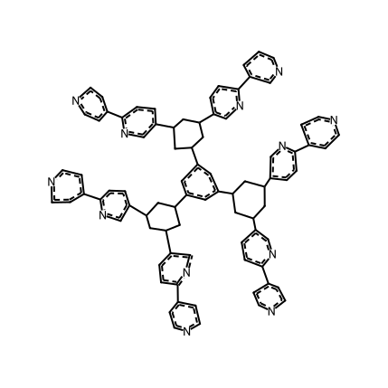 c1cncc(-c2ccc(C3CC(c4ccc(-c5ccncc5)nc4)CC(c4cc(C5CC(c6ccc(-c7ccncc7)nc6)CC(c6ccc(-c7ccncc7)nc6)C5)cc(C5CC(c6ccc(-c7ccncc7)nc6)CC(c6ccc(-c7ccncc7)nc6)C5)c4)C3)cn2)c1